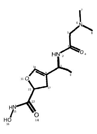 CC(NC(=O)CN(C)C)C1=COC(C(=O)NO)C1